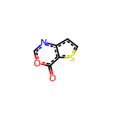 O=c1ocnc2ccsc12